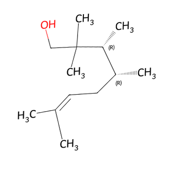 CC(C)=CC[C@@H](C)[C@@H](C)C(C)(C)CO